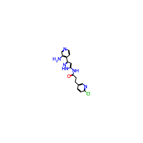 Nc1cnccc1-c1cc(NC(=O)CCc2ccc(Cl)nc2)[nH]n1